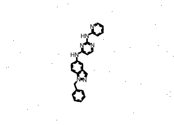 c1ccc(Cn2ncc3cc(Nc4ccnc(Nc5ccccn5)n4)ccc32)cc1